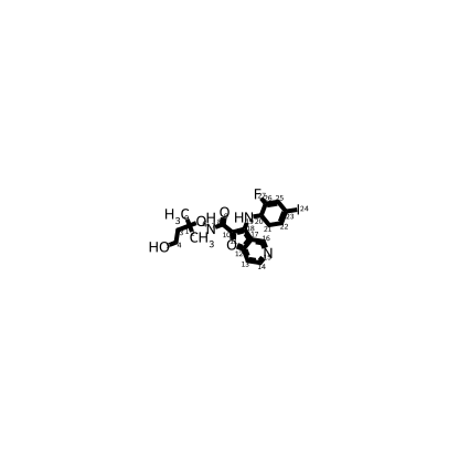 CC(C)(CCO)ONC(=O)c1oc2ccncc2c1NC1CC=C(I)C=C1F